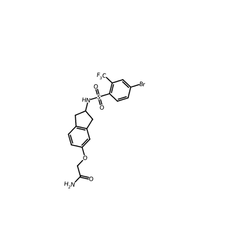 NC(=O)COc1ccc2c(c1)CC(NS(=O)(=O)c1ccc(Br)cc1C(F)(F)F)C2